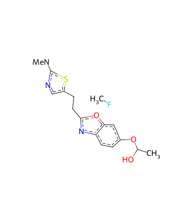 CF.CNc1ncc(CCc2nc3ccc(OC(C)O)cc3o2)s1